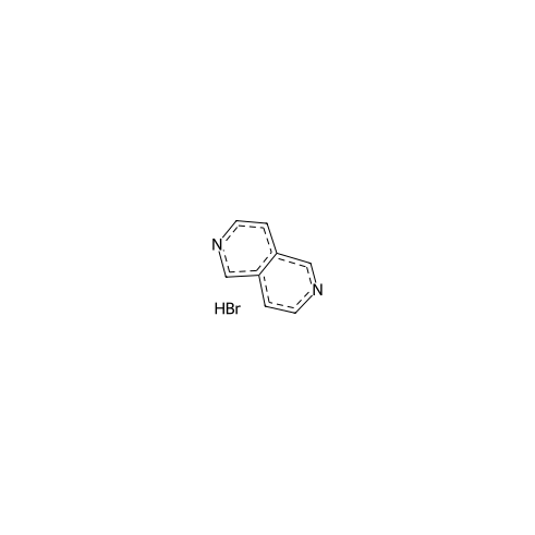 Br.c1cc2cnccc2cn1